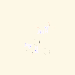 COc1ccccc1CNC(=O)c1cc(C(F)(F)F)nn1-c1cccc(CNC(=O)C(NC(=O)OC(C)(C)C)C(F)(F)F)c1